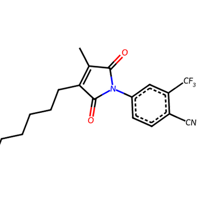 CC1=C(CCCCCI)C(=O)N(c2ccc(C#N)c(C(F)(F)F)c2)C1=O